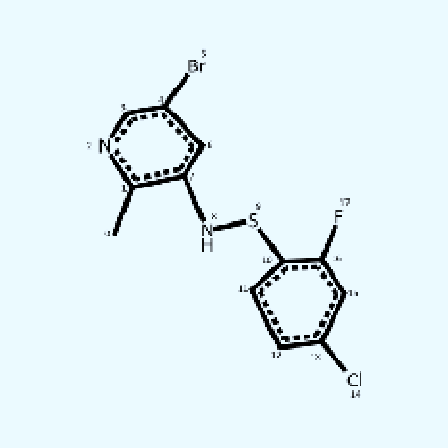 Cc1ncc(Br)cc1NSc1ccc(Cl)cc1F